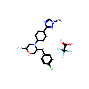 Cn1cnc(C2CCC(N3C[C@H](C(=O)O)OC[C@@H]3Cc3ccc(Cl)cc3)CC2)n1.O=C(O)C(F)(F)F